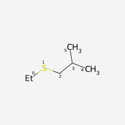 [CH2]CSCC(C)C